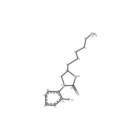 CCCCCCC1CN(c2ccccc2F)C(=O)O1